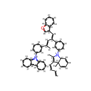 C=C/C=C\C1=C(C)N(c2cccc(C(/C=C(\C)c3cccc(-n4c5ccccc5c5ccccc54)c3)=C/c3coc4ccccc34)c2)C2C=CC=CC12C